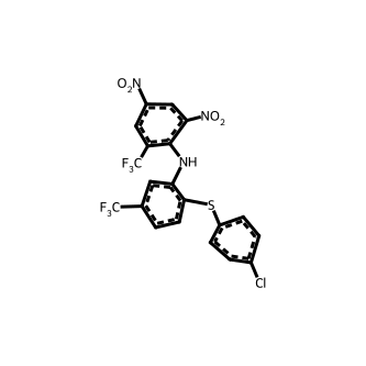 O=[N+]([O-])c1cc([N+](=O)[O-])c(Nc2cc(C(F)(F)F)ccc2Sc2ccc(Cl)cc2)c(C(F)(F)F)c1